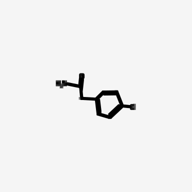 NC(=O)[CH]c1ccc(Cl)cc1